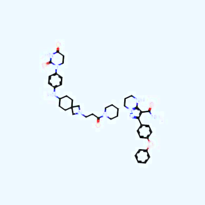 NC(=O)c1c(-c2ccc(Oc3ccccc3)cc2)nn2c1NCC[C@H]2C1CCN(C(=O)CCN2CC3(CCC(Nc4ccc(N5CCC(=O)NC5=O)cc4)CC3)C2)CC1